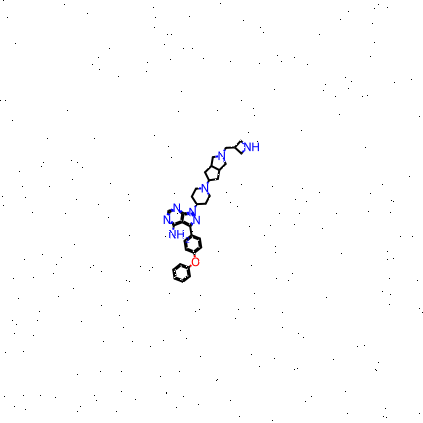 Nc1ncnc2c1c(-c1ccc(Oc3ccccc3)cc1)nn2C1CCN(C2CC3CN(CC4CNC4)CC3C2)CC1